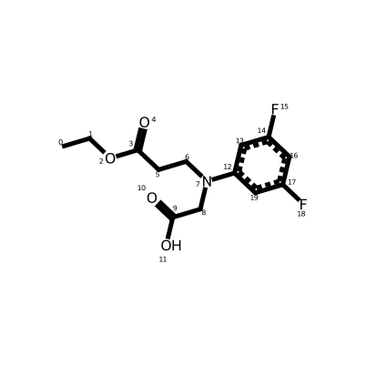 CCOC(=O)CCN(CC(=O)O)c1cc(F)cc(F)c1